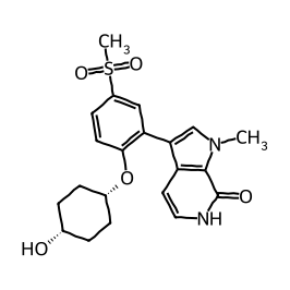 Cn1cc(-c2cc(S(C)(=O)=O)ccc2O[C@H]2CC[C@@H](O)CC2)c2cc[nH]c(=O)c21